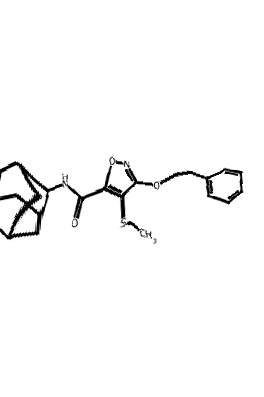 CSc1c(OCc2ccccc2)noc1C(=O)NC1C2CC3CC(C2)CC1C3